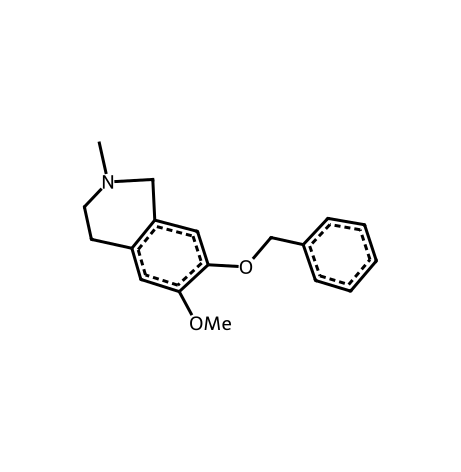 COc1cc2c(cc1OCc1ccccc1)CN(C)CC2